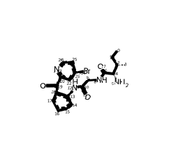 CC[C@H](C)[C@H](N)C(=O)NCC(=O)Nc1ccccc1C(=O)c1cc(Br)ccn1